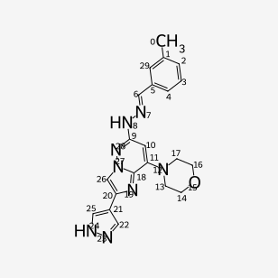 Cc1cccc(C=NNc2cc(N3CCOCC3)c3nc(-c4cn[nH]c4)cn3n2)c1